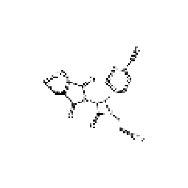 C=CCN1C(=O)[C@H](N2C(=O)c3ccccc3C2=O)[C@@H]1c1ccc(C#N)cc1